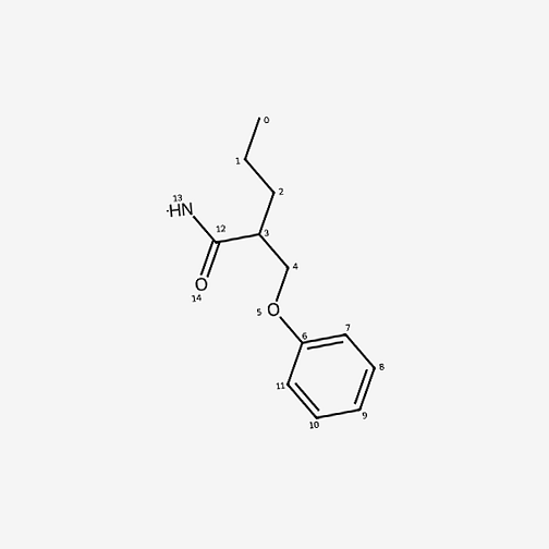 CCCC(COc1ccccc1)C([NH])=O